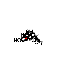 C[C@H](CCC(=O)N(C)C)[C@H]1CC[C@H]2[C@@H]3[C@H](O)C[C@@H]4C[C@H](O)CC[C@]4(C)[C@H]3C[C@H](O)[C@]12C